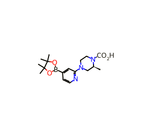 C[C@H]1CN(c2cc(B3OC(C)(C)C(C)(C)O3)ccn2)CCN1C(=O)O